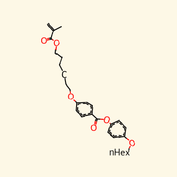 C=C(C)C(=O)OCCCCCCOc1ccc(C(=O)Oc2ccc(OCCCCCC)cc2)cc1